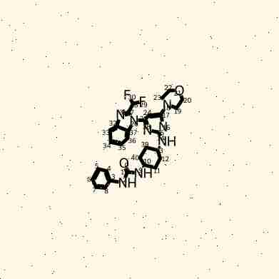 O=C(Nc1ccccc1)N[C@H]1CC[C@H](Nc2nc(N3CCOCC3)cc(-n3c(C(F)F)nc4ccccc43)n2)CC1